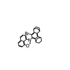 Brc1c2c(c3c(c1N1COc4cccc5cccc1c45)C1CCC3CC1)C1CCC2CC1